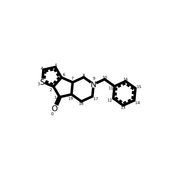 O=C1c2sccc2C2CN(Cc3ccccc3)CCC12